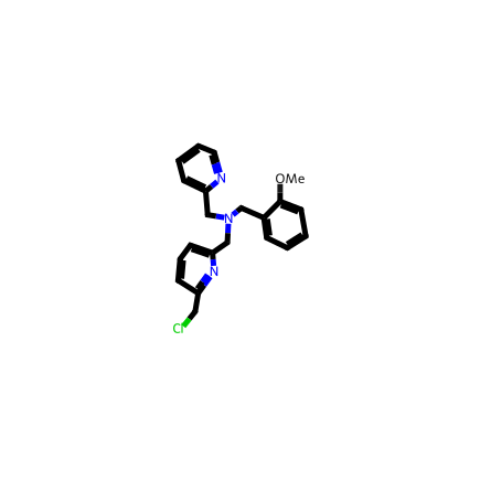 COc1ccccc1CN(Cc1ccccn1)Cc1cccc(CCl)n1